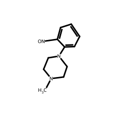 CN1CCN(c2ccccc2N=O)CC1